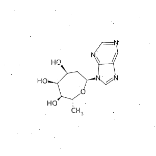 C[C@H]1O[C@H](n2cnc3cncnc32)C[C@H](O)[C@H](O)[C@@H]1O